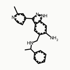 Cc1cc(-c2n[nH]c3cc(N)c(CNC(C)c4ccccc4)cc23)ccn1